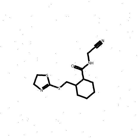 N#CCNC(=O)C1CCCCC1CSC1=NCCS1